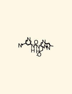 COCCc1c(NC(=O)Nc2cncc(C#N)c2)cnc2cc(C)nn12